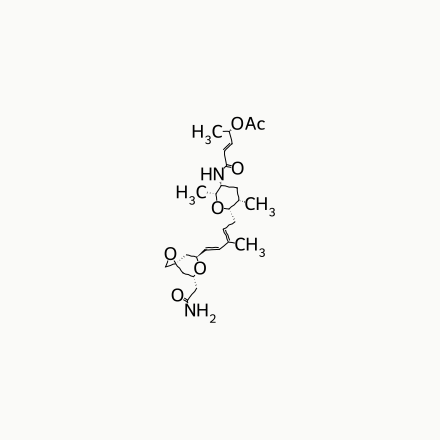 CC(=O)O[C@@H](C)C=CC(=O)N[C@@H]1C[C@H](C)[C@H](CC=C(C)C=C[C@@H]2C[C@@]3(CO3)C[C@@H](CC(N)=O)O2)O[C@@H]1C